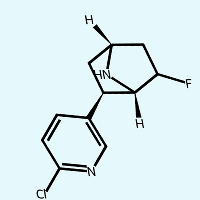 FC1C[C@H]2C[C@H](c3ccc(Cl)nc3)[C@@H]1N2